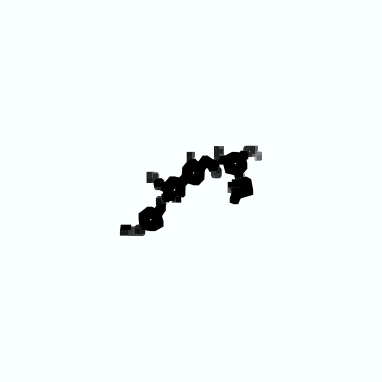 CCOc1cc(-c2ccc(CC(=O)Nc3cc(-n4ccc(C)n4)cc(C(F)(F)F)c3)c(F)c2)cnc1OCc1ccc(OC)cc1